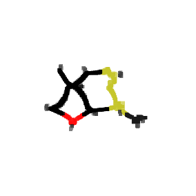 CCC[SH]1SCC2(C)COC12